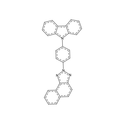 c1ccc2c(c1)ccc1nn(-c3ccc(-n4c5ccccc5c5ccccc54)cc3)nc12